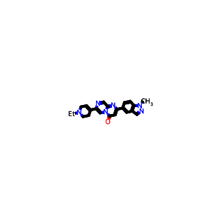 CCN1CC=C(c2cn3c(=O)cc(-c4ccc5c(cnn5C)c4)nc3cn2)CC1